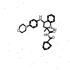 CC(=O)N1c2ccccc2C(Nc2ccc(N3CCOCC3)cc2)CC1(C)C(=O)NC(=O)c1ccccc1